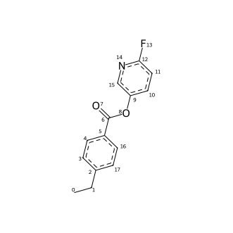 CCc1ccc(C(=O)Oc2ccc(F)nc2)cc1